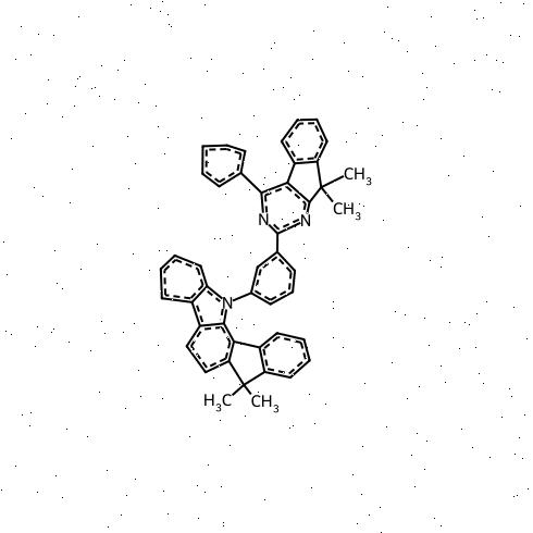 CC1(C)c2ccccc2-c2c1ccc1c3ccccc3n(-c3cccc(-c4nc(-c5ccccc5)c5c(n4)C(C)(C)c4ccccc4-5)c3)c21